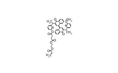 C=CC(=O)OCCOC(=O)CCC(=O)Oc1cccc(C(C)C2=C/C(=C3/C=C(C(C)c4cccc(OC)n4)C(=O)c4ccccc43)c3ccccc3C2=O)n1